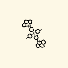 Cc1ccc([Si](c2ccc(C)cc2)(c2ccc(-n3c4cccc5ccc6cccc3c6c54)cc2)c2ccc(-n3c4cccc5ccc6cccc3c6c54)cc2)cc1